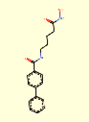 O=C(CCCCNC(=O)c1ccc(-c2ccccc2)cc1)NO